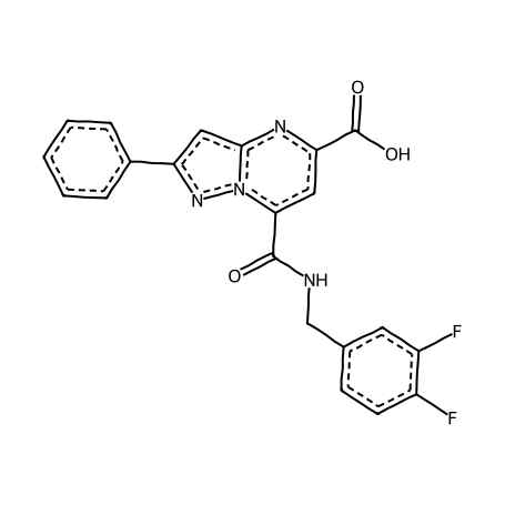 O=C(O)c1cc(C(=O)NCc2ccc(F)c(F)c2)n2nc(-c3ccccc3)cc2n1